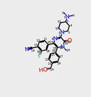 CN(C)C1CCN(c2nc(-c3ccc(C#N)c(F)c3)c(-c3ccc(CO)cc3)n(C)c2=O)CC1